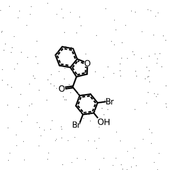 O=C(c1cc(Br)c(O)c(Br)c1)c1coc2ccccc12